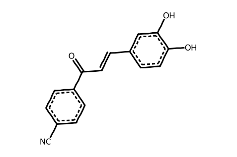 N#Cc1ccc(C(=O)C=Cc2ccc(O)c(O)c2)cc1